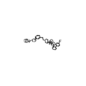 O=C(COc1ccccc1-c1ccc(F)cc1O)N1CCC(CCc2cccc(OCCN3CCOCC3)c2)CC1